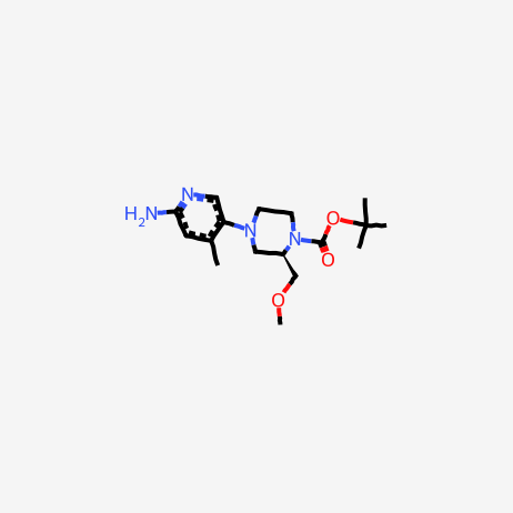 COC[C@H]1CN(c2cnc(N)cc2C)CCN1C(=O)OC(C)(C)C